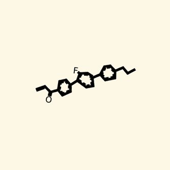 C=CC(=O)c1ccc(-c2ccc(-c3ccc(CCC)cc3)cc2F)cc1